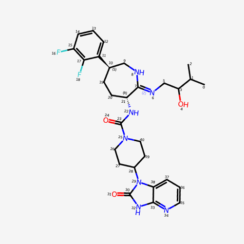 CC(C)C(O)C/N=C1\NC[C@H](c2cccc(F)c2F)CC[C@H]1NC(=O)N1CCC(n2c(=O)[nH]c3ncccc32)CC1